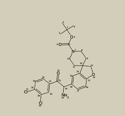 CC(C)(C)OC(=O)N1CCC2(CC1)COc1ccc(C(N)C(=O)c3ccc(Cl)c(Cl)c3)cc12